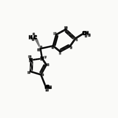 Cc1ccc([C@@H](C)n2cc(C(C)(C)C)cn2)cc1